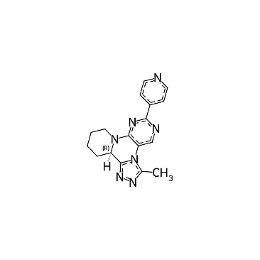 Cc1nnc2n1-c1cnc(-c3ccncc3)nc1N1CCCC[C@H]21